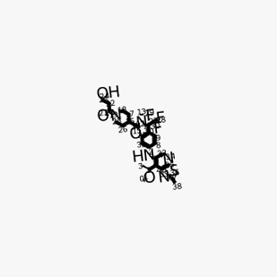 CO[C@@H](C)c1c(Nc2ccc([C@H](N(C)C(=O)C3CCN(C(=O)CCO)CC3)C(F)(F)F)cc2)cnc2sc(C)nc12